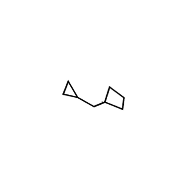 C1C[C](CC2CC2)C1